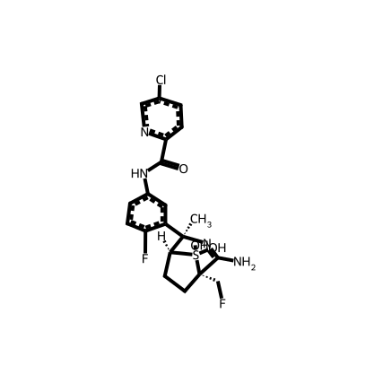 C[C@]1(c2cc(NC(=O)c3ccc(Cl)cn3)ccc2F)N=C(N)[C@@]2(CF)CC[C@@H]1S2(O)O